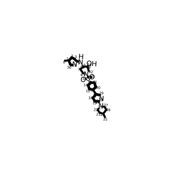 Cc1ccc(N[C@@H]2CCN(S(=O)(=O)c3ccc(-c4ccc(N5CCC(C)CC5)nc4)cc3)C[C@@H]2O)nc1